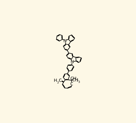 C=C1/C=C\C=C/CC(C)(C)c2cc(-c3ccc(-n4c5ccccc5c5cc(-c6ccc7c(c6)c6ccccc6n7-c6ccccc6)ccc54)cc3)ccc21